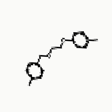 Cc1ccc(COCCOc2ccc(C)cc2)cc1